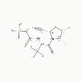 C[C@H]1C[C@@H](C#N)N(C(=O)[C@@H](NC(=O)OC(C)(C)C)C(C)(C)C)[C@H]1C